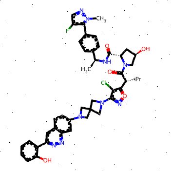 CC(C)[C@@H](C(=O)N1C[C@H](O)C[C@H]1C(=O)N[C@@H](C)c1ccc(-c2c(F)cnn2C)cc1)c1onc(N2CC3(CN(c4ccc5cc(-c6ccccc6O)nnc5c4)C3)C2)c1Cl